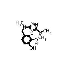 CN(C)c1nnc(N(C)Cc2ccc(O)c(O)c2)[nH]1